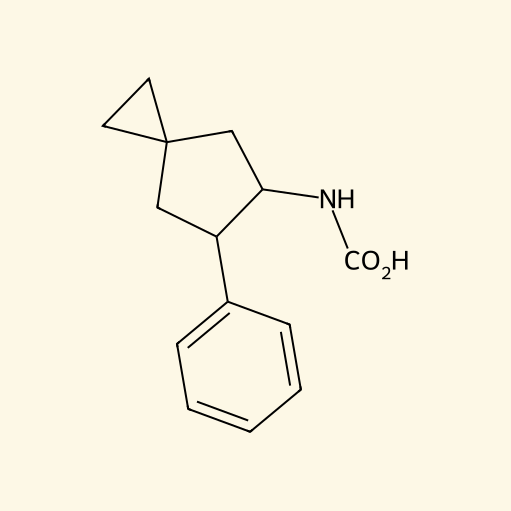 O=C(O)NC1CC2(CC2)CC1c1ccccc1